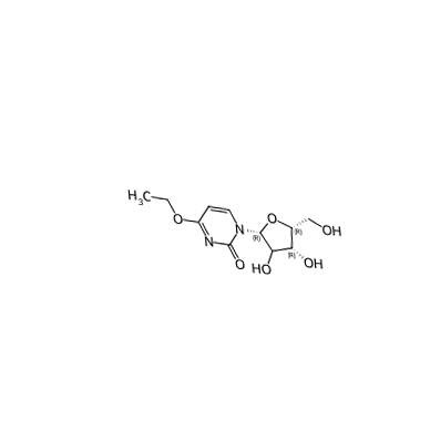 CCOc1ccn([C@@H]2O[C@H](CO)[C@H](O)C2O)c(=O)n1